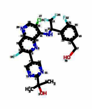 CC(C)(O)c1ncc(-c2nc3c(NC(c4cc(CO)ccc4F)C(F)F)c(Cl)cnc3cc2F)cn1